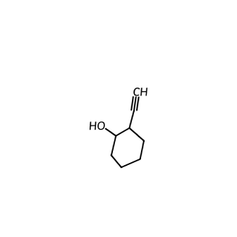 C#CC1CCCCC1O